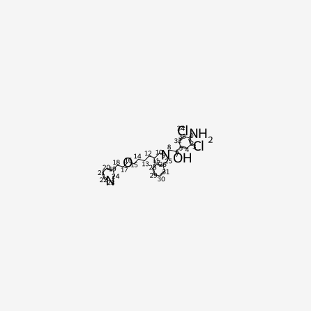 Nc1c(Cl)cc(C(O)CN(CCCCCCOCCc2cccnc2)Cc2ccccc2)cc1Cl